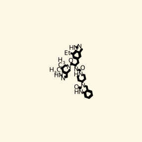 CCc1cc(CC(NC(=O)N2CCC(N3Cc4ccccc4NC3=O)CC2)C(=O)N2Cc3cn[nH]c3C(C)(C)C2)cc2cn[nH]c12